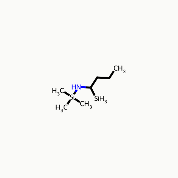 CCCC([SiH3])N[Si](C)(C)C